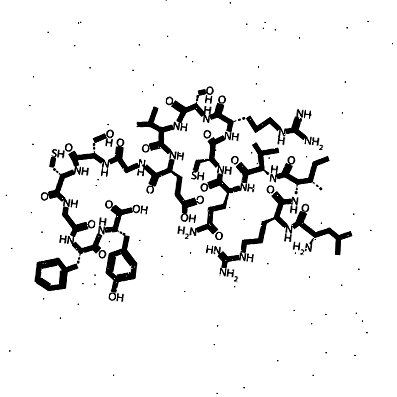 CC[C@H](C)[C@H](NC(=O)[C@H](CCCNC(=N)N)NC(=O)[C@@H](N)CC(C)C)C(=O)N[C@H](C(=O)N[C@@H](CCC(N)=O)C(=O)N[C@@H](CS)C(=O)N[C@@H](CCCNC(=N)N)C(=O)N[C@@H](CO)C(=O)NC(C(=O)N[C@@H](CCC(=O)O)C(=O)NCC(=O)N[C@@H](CO)C(=O)N[C@@H](CS)C(=O)NCC(=O)N[C@@H](Cc1ccccc1)C(=O)N[C@@H](Cc1ccc(O)cc1)C(=O)O)C(C)C)C(C)C